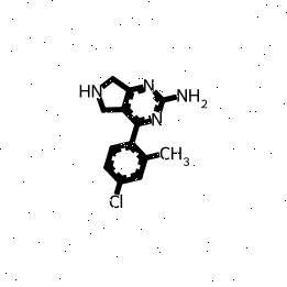 Cc1cc(Cl)ccc1-c1nc(N)nc2c1CNC2